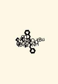 CC(C)C(NC(=O)C(Cc1ccccc1)CC(O[Si](C)(C)C(C)(C)C)C(Cc1ccccc1)NC(=O)OC(C)(C)C)C(=O)N1CCC1=O